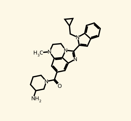 CN1CCn2c(-c3cc4ccccc4n3CC3CC3)nc3cc(C(=O)N4CCCC(N)C4)cc1c32